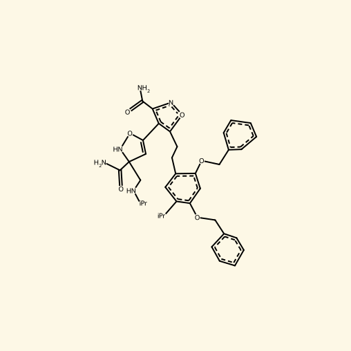 CC(C)NCC1(C(N)=O)C=C(c2c(C(N)=O)noc2CCc2cc(C(C)C)c(OCc3ccccc3)cc2OCc2ccccc2)ON1